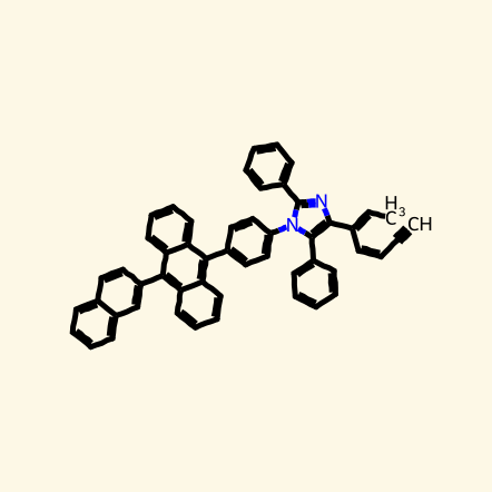 C#C/C=C\C(=C/C)c1nc(-c2ccccc2)n(-c2ccc(-c3c4ccccc4c(-c4ccc5ccccc5c4)c4ccccc34)cc2)c1-c1ccccc1